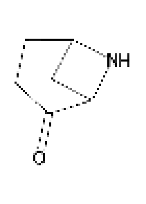 O=C1CCC2CC1N2